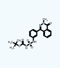 Cn1nc(-c2cccc(NS(=O)(=O)NC(=O)OC(C)(C)C)c2)c2ccccc2c1=O